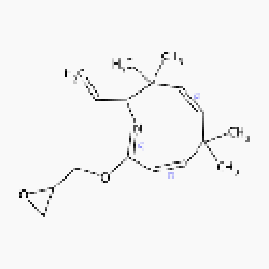 C=CC1/N=C(OCC2CO2)/C=C\C(C)(C)/C=C\C1(C)C